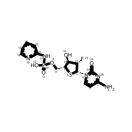 Nc1ccn([C@@H]2S[C@H](COP(=O)(O)Nc3ccccn3)[C@@H](O)[C@@H]2F)c(=O)n1